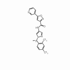 C[C@H](c1ccc(C(F)(F)F)cc1C(F)(F)F)n1cc(NC(=O)c2cc(-c3cccnc3)on2)cn1